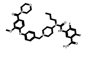 CCCCN(C(=O)Nc1cc(C(N)=O)c(F)cc1F)C1CCN(Cc2ccc(Oc3ccc(C(=O)N4CCOCC4)cc3OC)cc2)CC1